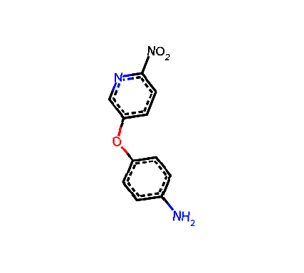 Nc1ccc(Oc2ccc([N+](=O)[O-])nc2)cc1